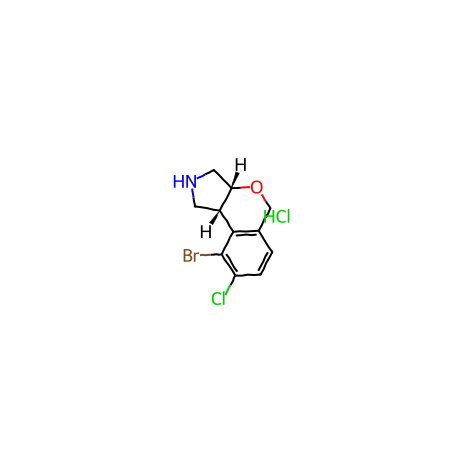 Cl.Clc1ccc2c(c1Br)[C@@H]1CNC[C@@H]1OC2